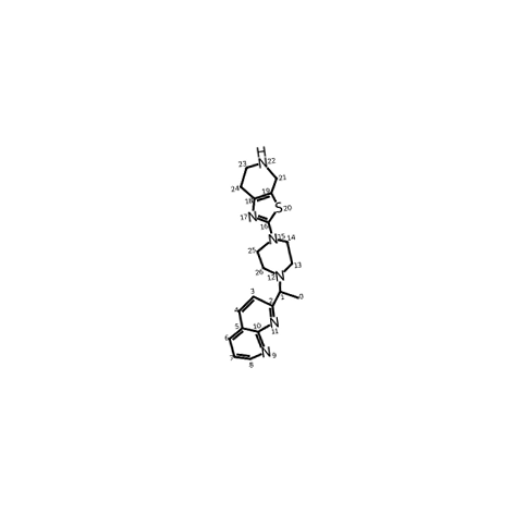 CC(c1ccc2cccnc2n1)N1CCN(c2nc3c(s2)CNCC3)CC1